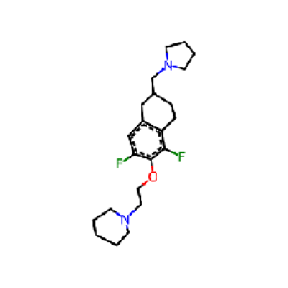 Fc1cc2c(c(F)c1OCCN1CCCCC1)CCC(CN1CCCC1)C2